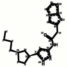 CCCC[C@@H]1CC[C@H](c2cc(NC(=O)Cc3cn4ccsc4n3)n[nH]2)C1